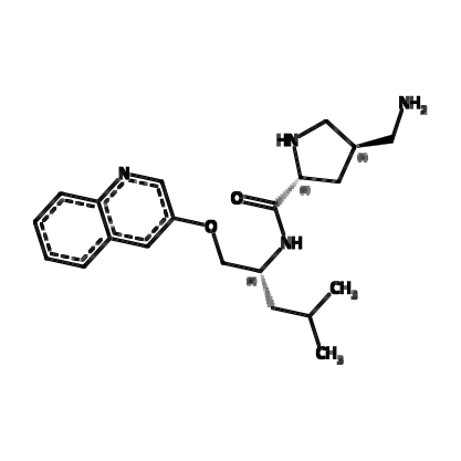 CC(C)C[C@H](COc1cnc2ccccc2c1)NC(=O)[C@H]1C[C@H](CN)CN1